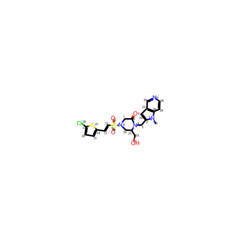 Cn1c(CN2C(=O)CN(S(=O)(=O)C=Cc3ccc(Cl)s3)CC2CO)cc2cnccc21